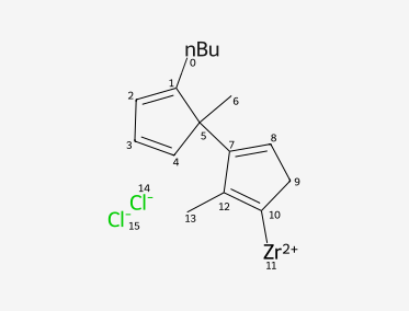 CCCCC1=CC=CC1(C)C1=CC[C]([Zr+2])=C1C.[Cl-].[Cl-]